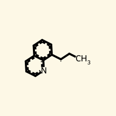 CC[CH]c1cccc2cccnc12